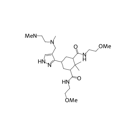 CNCCN(C)Cc1c[nH]nc1C1CC(C(=O)NCCOC)C(C)(C)C(C(=O)NCCOC)C1